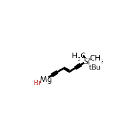 CC(C)(C)[Si](C)(C)C#CC=CC#[C][Mg][Br]